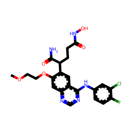 COCCOc1cc2ncnc(Nc3ccc(F)c(Cl)c3)c2cc1C(CCC(=O)NO)C(N)=O